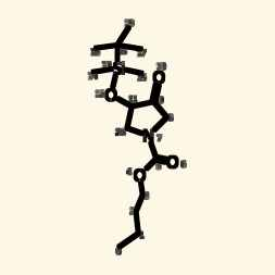 CCCCOC(=O)N1CC(=O)C(O[Si](C)(C)C(C)(C)C)C1